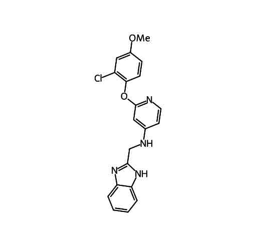 COc1ccc(Oc2cc(NCc3nc4ccccc4[nH]3)ccn2)c(Cl)c1